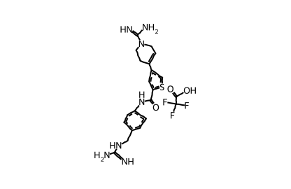 N=C(N)NCc1ccc(NC(=O)c2cc(C3=CCN(C(=N)N)CC3)cs2)cc1.O=C(O)C(F)(F)F